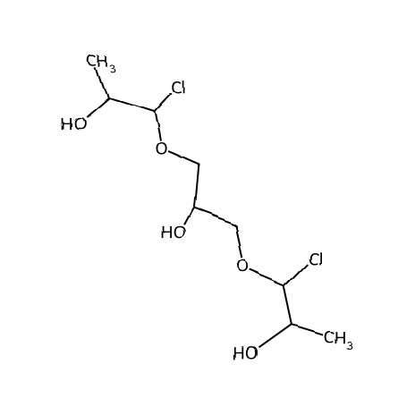 CC(O)C(Cl)OCC(O)COC(Cl)C(C)O